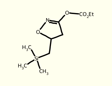 CCOC(=O)OC1=NOC(C[Si](C)(C)C)C1